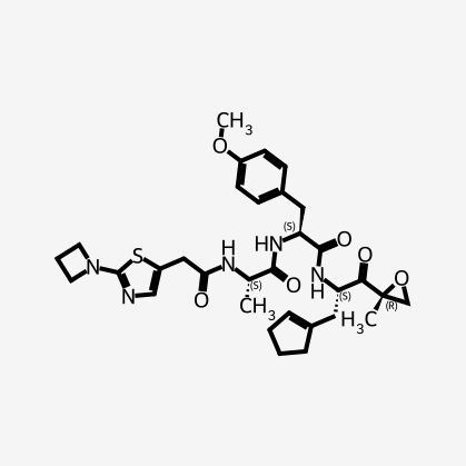 COc1ccc(C[C@H](NC(=O)[C@H](C)NC(=O)Cc2cnc(N3CCC3)s2)C(=O)N[C@@H](CC2=CCCC2)C(=O)[C@@]2(C)CO2)cc1